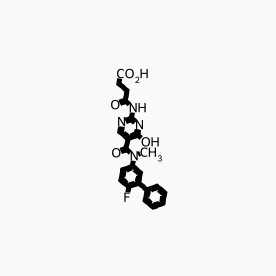 CN(C(=O)c1cnc(NC(=O)CCC(=O)O)nc1O)c1ccc(F)c(-c2ccccc2)c1